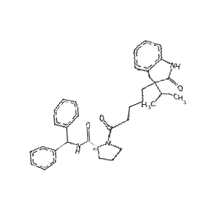 CC(C)C1(CCCCC(=O)N2CCC[C@@H]2C(=O)NC(c2ccccc2)c2ccccc2)C(=O)Nc2ccccc21